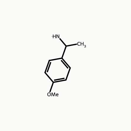 COc1ccc(C(C)[NH])cc1